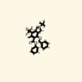 Cc1c(C(=O)Oc2ccccc2)c(OCc2ccccc2)c2c(c1C(F)(F)F)CN(C(C)(C)C)C2